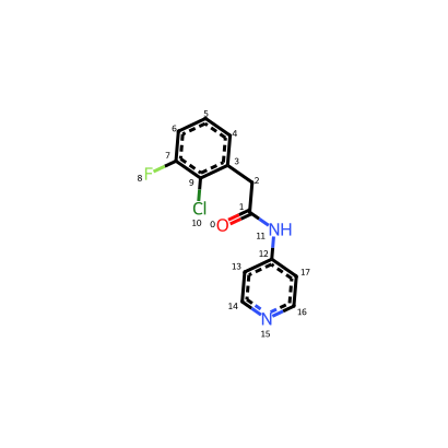 O=C(Cc1cccc(F)c1Cl)Nc1ccncc1